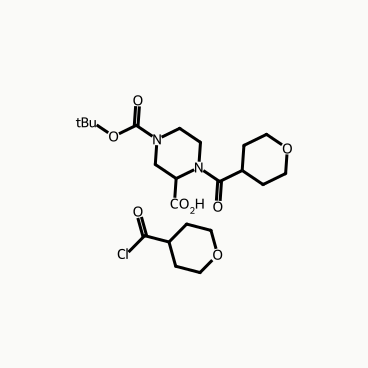 CC(C)(C)OC(=O)N1CCN(C(=O)C2CCOCC2)C(C(=O)O)C1.O=C(Cl)C1CCOCC1